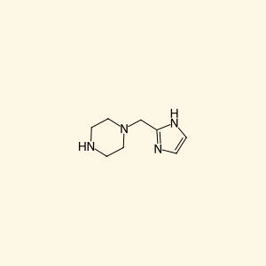 c1c[nH]c(CN2CCNCC2)n1